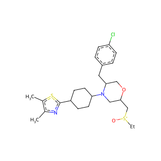 CC[S+]([O-])CC1CN(C2CCC(c3nc(C)c(C)s3)CC2)C(Cc2ccc(Cl)cc2)CO1